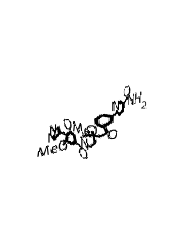 COc1cc(C(=O)N2CCC3(CC2)CC(=O)c2cc(-c4ccc(C(N)=O)cn4)ccc2O3)cc(OC)c1-c1cnn(C)c1